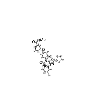 CNC(=O)c1cc(Oc2ccc(N(C(N)=O)c3cc(C4CCCC4)nn3-c3cccc(C)c3)c(Cl)c2)ccn1